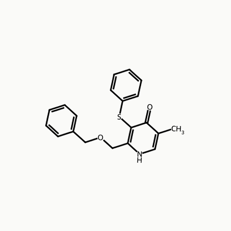 Cc1c[nH]c(COCc2ccccc2)c(Sc2ccccc2)c1=O